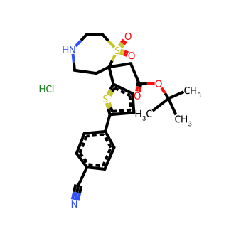 CC(C)(C)OC(=O)CC1(c2ccc(-c3ccc(C#N)cc3)s2)CCNCCS1(=O)=O.Cl